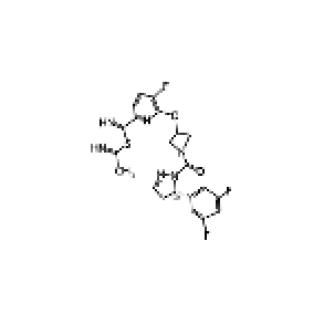 CC(=N)SC(=N)c1ccc(F)c(OC2CN(C(=O)N3N=CC[C@H]3c3cc(F)cc(F)c3)C2)n1